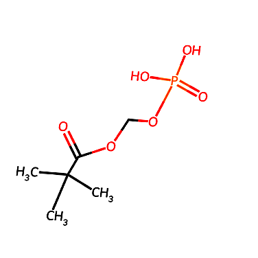 CC(C)(C)C(=O)OCOP(=O)(O)O